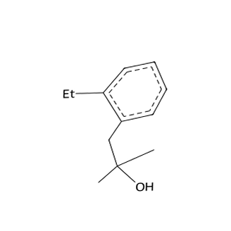 CCc1ccccc1CC(C)(C)O